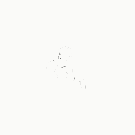 C1=Cc2ccccc2C1.NC(=O)C(N)=O.c1cnnnc1